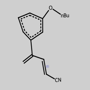 C=C(/C=C/C#N)c1cccc(OCCCC)c1